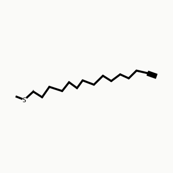 C#CCCCCCCCCCCCC[CH]SC